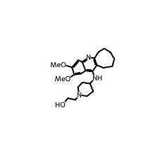 COc1cc2nc3c(c(NC4CCN(CCO)CC4)c2cc1OC)CCCCCC3